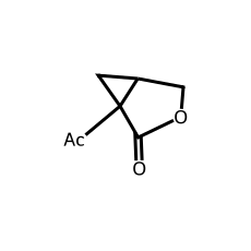 CC(=O)C12CC1COC2=O